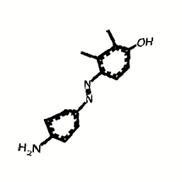 Cc1c(O)ccc(N=Nc2ccc(N)cc2)c1C